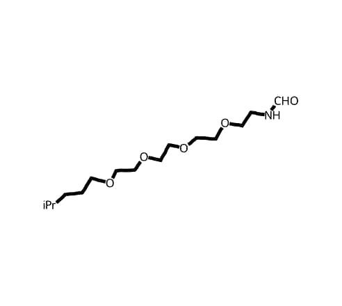 CC(C)CCCOCCOCCOCCOCCNC=O